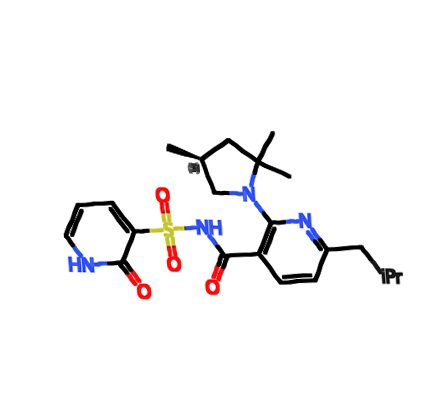 CC(C)Cc1ccc(C(=O)NS(=O)(=O)c2ccc[nH]c2=O)c(N2C[C@@H](C)CC2(C)C)n1